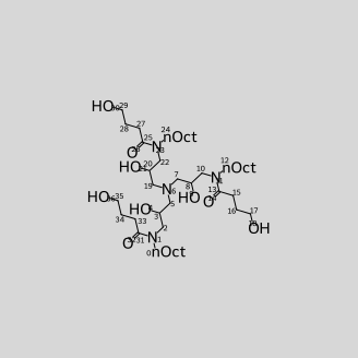 CCCCCCCCN(CC(O)CN(CC(O)CN(CCCCCCCC)C(=O)CCCO)CC(O)CN(CCCCCCCC)C(=O)CCCO)C(=O)CCCO